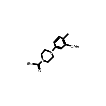 COc1cc(N2CCN(C(=O)C(C)(C)C)CC2)ccc1C